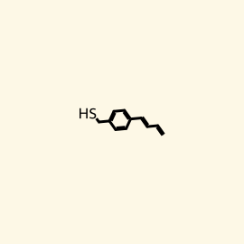 C=CC=Cc1ccc(CS)cc1